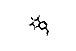 Cn1c(=O)[nH]c2cc(C=O)ccc2c1=O